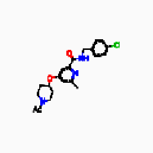 CC(=O)N1CCC(Oc2cc(C)nc(C(=O)NCc3ccc(Cl)cc3)c2)CC1